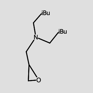 CCC(C)CN(CC(C)CC)CC1CO1